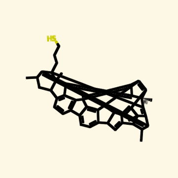 CC1CC2c3ccc4c5c3c3c6c7c8c9c%10c%11c%12c8c8c(ccc-4c8c57)C%12C=C%11C4C(C)C5=C1C(CCCS)(C(=C5C%104C)[C@]96C)C32C